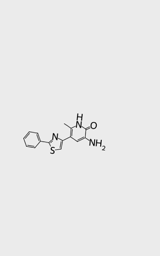 Cc1[nH]c(=O)c(N)cc1-c1csc(-c2ccccc2)n1